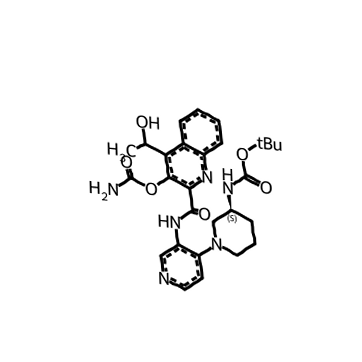 CC(O)c1c(OC(N)=O)c(C(=O)Nc2cnccc2N2CCC[C@H](NC(=O)OC(C)(C)C)C2)nc2ccccc12